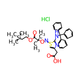 CC(C)(ON=S1C=C(CC(=O)O)N=C1NC(c1ccccc1)(c1ccccc1)c1ccccc1)C(=O)OCC[Si](C)(C)C.Cl